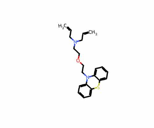 C=CCN(CC=C)CCOCCN1c2ccccc2Sc2ccccc21